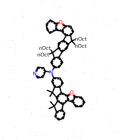 CCCCCCCCC1(CCCCCCCC)c2cc(N(c3ccncc3)c3ccc4c(c3)C(C)(C)c3c5c(c6c(oc7ccccc76)c3-4)-c3ccccc3C5(C)C)ccc2-c2cc3c(cc21)-c1c(ccc2oc4ccccc4c12)C3(CCCCCCCC)CCCCCCCC